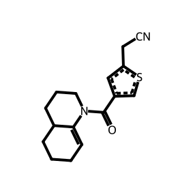 N#CCc1cc(C(=O)N2CCCC3CCCC=C32)cs1